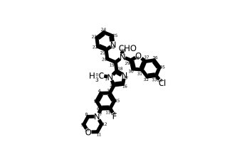 Cn1c(-c2ccc(N3CCOCC3)c(F)c2)cnc1C(Cc1ccccn1)N(C=O)c1cc2cc(Cl)ccc2o1